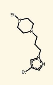 CCc1cnn(CCCN2CCN(CC)CC2)c1